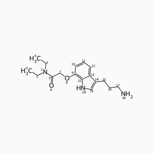 CCN(CC)C(=O)COc1cccc2c(CCCN)c[nH]c12